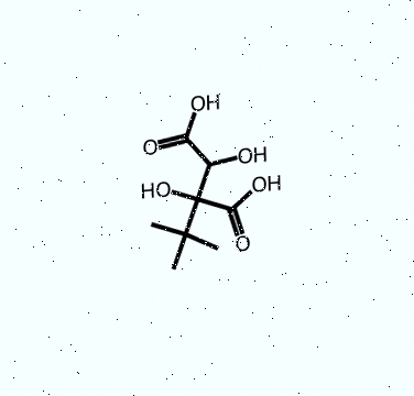 CC(C)(C)C(O)(C(=O)O)C(O)C(=O)O